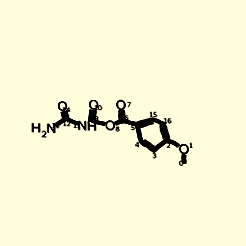 COc1ccc(C(=O)OC(=O)NC(N)=O)cc1